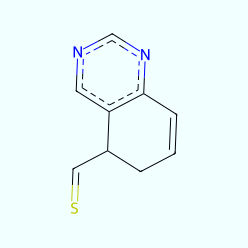 S=CC1CC=Cc2ncncc21